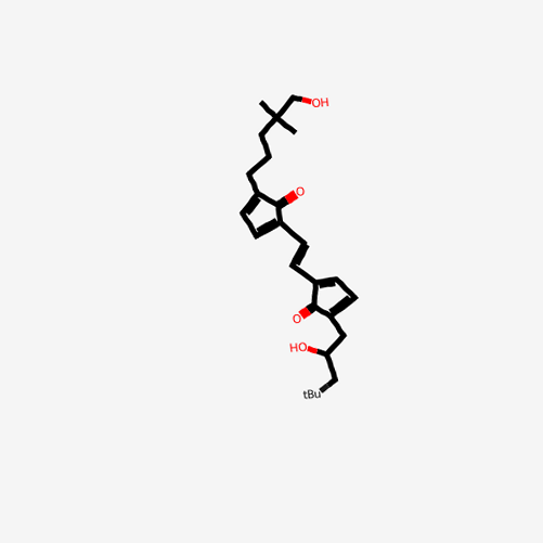 CC(C)(C)CC(O)CC1=CC=C(C=CC2=CC=C(CCCC(C)(C)CO)C2=O)C1=O